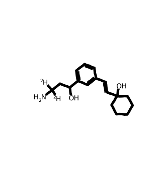 [2H]C([2H])(N)CC(O)c1cccc(C=CC2(O)CCCCC2)c1